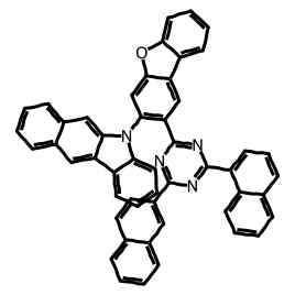 c1ccc2cc(-c3nc(-c4cc5c(cc4-n4c6ccccc6c6cc7ccccc7cc64)oc4ccccc45)nc(-c4cccc5ccccc45)n3)ccc2c1